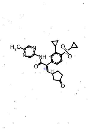 Cc1cnc(NC(=O)/C(=C/[C@H]2CCC(=O)C2)c2ccc(S(=O)(=O)C3CC3)c(C3CC3)c2)cn1